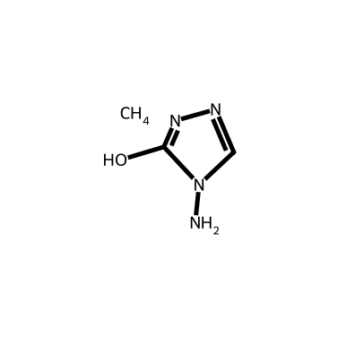 C.Nn1cnnc1O